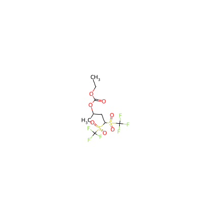 CCOC(=O)OC(C)CC(S(=O)(=O)C(F)(F)F)S(=O)(=O)C(F)(F)F